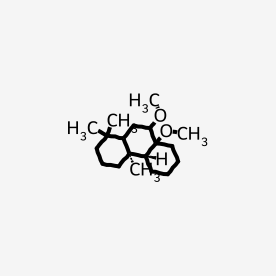 COC1CC2C(C)(C)CCC[C@]2(C)[C@H]2CCCCC12OC